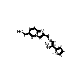 OCc1ccc2nc(Cn3cc(-c4ccc[nH]4)nn3)cn2c1